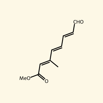 COC(=O)/C=C(C)/C=C/C=C/C=O